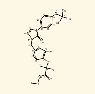 CCOC(=O)C(C)(C)Oc1ccc(Cn2ncn(-c3ccc(OC(F)(F)F)cc3)c2=O)cc1C